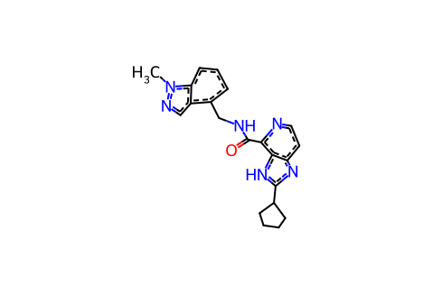 Cn1ncc2c(CNC(=O)c3nccc4nc(C5CCCC5)[nH]c34)cccc21